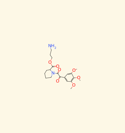 COc1cc(C(=O)C(=O)N2CCCCC2C(=O)OCCCN)cc(OC)c1OC